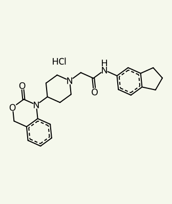 Cl.O=C(CN1CCC(N2C(=O)OCc3ccccc32)CC1)Nc1ccc2c(c1)CCC2